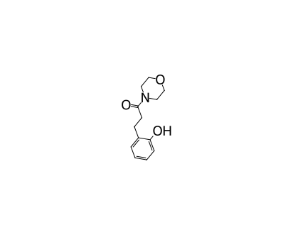 O=C(CCc1ccccc1O)N1CCOCC1